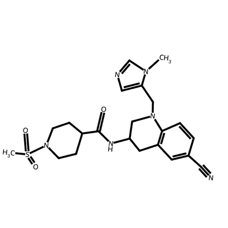 Cn1cncc1CN1CC(NC(=O)C2CCN(S(C)(=O)=O)CC2)Cc2cc(C#N)ccc21